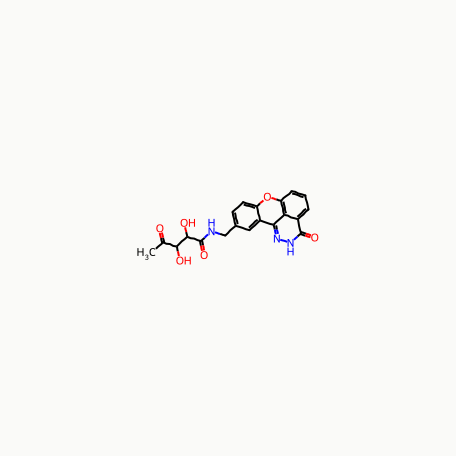 CC(=O)C(O)C(O)C(=O)NCc1ccc2c(c1)-c1n[nH]c(=O)c3cccc(c13)O2